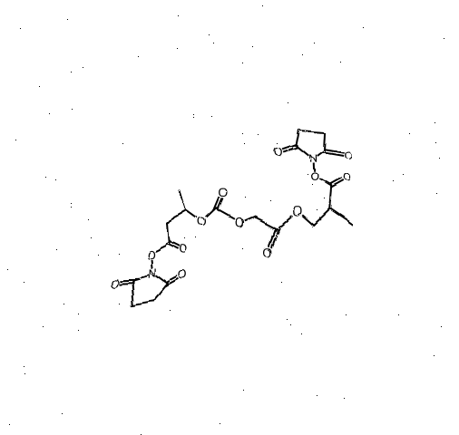 CC(CC(=O)ON1C(=O)CCC1=O)OC(=O)OCC(=O)OCC(C)C(=O)ON1C(=O)CCC1=O